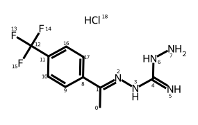 CC(=NNC(=N)NN)c1ccc(C(F)(F)F)cc1.Cl